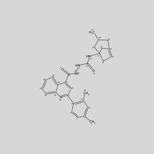 Cc1ccc(-c2cc(C(=O)NNC(=O)NC34CC=C(CC(C)C3)C4)c3ccccc3n2)c(C)c1